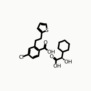 O=C(O)[C@H](O)C1CCCCC1.O=C(O)c1ccc(Cl)cc1CCc1cccs1